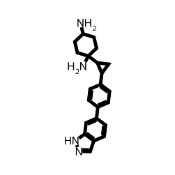 NC1CCC(N)(C2CC2c2ccc(-c3ccc4cn[nH]c4c3)cc2)CC1